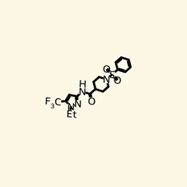 CCn1nc(NC(=O)C2CCN(S(=O)(=O)c3ccccc3)CC2)cc1C(F)(F)F